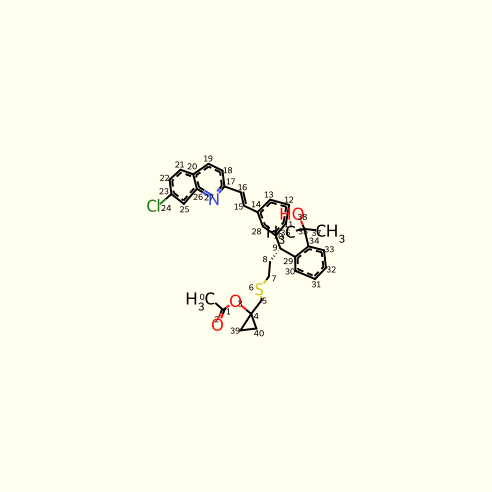 CC(=O)OC1(CSCC[C@H](c2cccc(C=Cc3ccc4ccc(Cl)cc4n3)c2)c2ccccc2C(C)(C)O)CC1